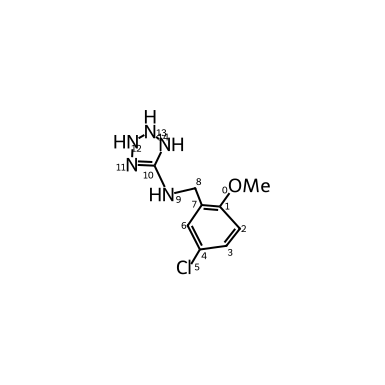 COc1ccc(Cl)cc1CNC1=NNNN1